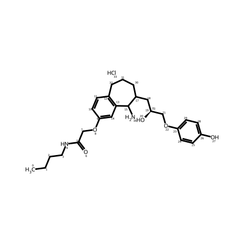 CCCCNC(=O)COc1ccc2c(c1)C(N)C(C[C@H](O)COc1ccc(O)cc1)CCC2.Cl